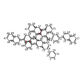 c1ccc(-c2cc(N(c3ccc(-c4ccc5ccccc5c4)cc3)c3cccc4ccccc34)c3cc(N(c4ccc(-c5ccc6ccccc6c5)cc4)c4cccc5ccccc45)c(-c4ccccc4)cc3c2)cc1